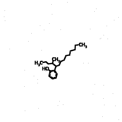 CCCCCCCCCC(c1ccccc1O)C(C)CCC